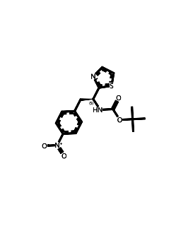 CC(C)(C)OC(=O)N[C@@H](Cc1ccc([N+](=O)[O-])cc1)c1nccs1